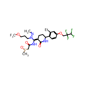 C=NN(CCCOC(F)(F)F)/C(NC(=O)C[S+](C)[O-])=C1\CCC(c2ccc(OCC(F)(F)C(F)F)cc2CC)NC1=O